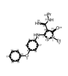 CCn1sc(Nc2ccc(Oc3ccccc3)cc2)c(C(=N)NC(C)C)c1=O